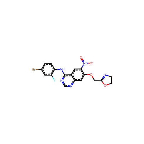 O=[N+]([O-])c1cc2c(Nc3ccc(Br)cc3F)ncnc2cc1OCC1=NCCO1